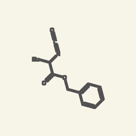 CCC(C)C(N=C=O)C(=O)OCc1ccccc1